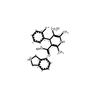 CCOC(=O)C1=C(C)NC(C)=C(C(=O)OC)C1c1ccccc1F.c1ccc2c(c1)CNC2